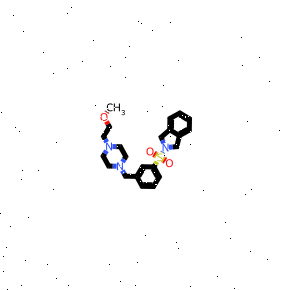 COCCN1CCN(Cc2cccc(S(=O)(=O)N3Cc4ccccc4C3)c2)CC1